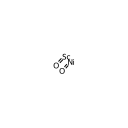 [O]=[Ni].[O]=[Sc]